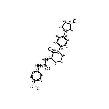 O=C(Nc1ccc(C(F)(F)F)cc1)N[C@@H]1CCCN(c2ccc(N3CC[C@H](O)C3)cc2)C1=O